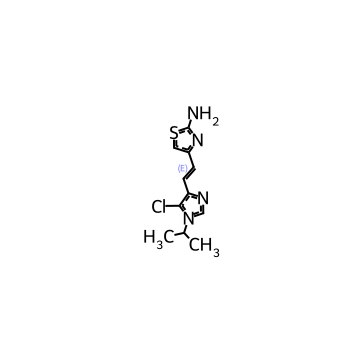 CC(C)n1cnc(/C=C/c2csc(N)n2)c1Cl